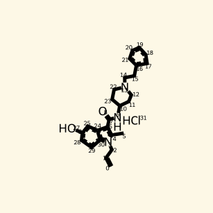 C=CCn1c(C)c(C(=O)NC2CCN(CCc3ccccc3)CC2)c2cc(O)ccc21.Cl